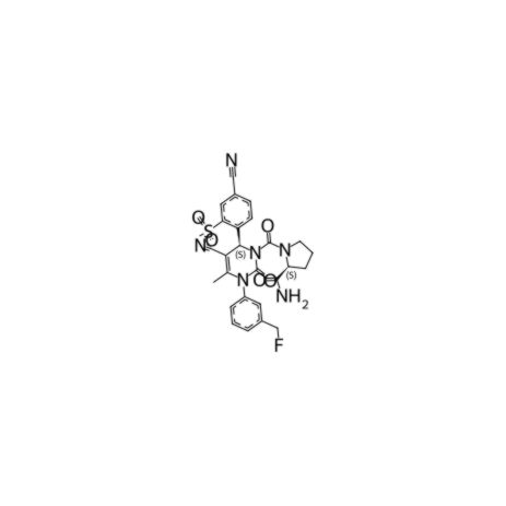 CC1=C(C#N)[C@@H](c2ccc(C#N)cc2S(C)(=O)=O)N(C(=O)N2CCC[C@H]2C(N)=O)C(=O)N1c1cccc(CF)c1